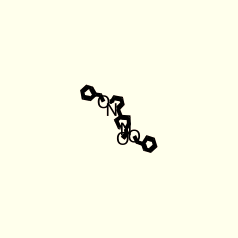 O=C(OCc1ccccc1)N1CC=C(c2cccc(OCc3ccccc3)n2)CC1